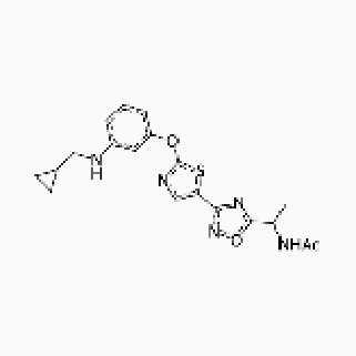 CC(=O)NC(C)c1nc(-c2cnc(Oc3cccc(NCC4CC4)c3)s2)no1